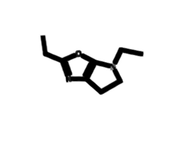 CCc1nc2c(o1)N(CC)CC2